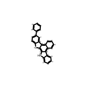 c1ccc(-c2ccc3sc4c5[nH]c6ccccc6c5c5ccccc5c4c3c2)cc1